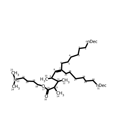 CCCCCCCCCCCCCCCCC(=CC(C)C(C)C(C)C(=O)OCCCCN(C)C)CCCCCCCCCCCCCCCC